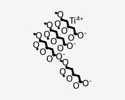 COC(CC(=O)CC(=O)[O-])OC.COC(CC(=O)CC(=O)[O-])OC.COC(CC(=O)CC(=O)[O-])OC.COC(CC(=O)CC(=O)[O-])OC.[Ti+4]